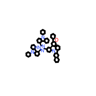 c1ccc(-n2c3ccccc3c3c(C4=NC(c5ccc(-n6c7ccccc7c7cc8ccccc8cc76)c(-c6ccc7oc8ccccc8c7c6)c5)=NC(c5cccc6c5c5ccccc5n6-c5ccccc5)N4)cccc32)cc1